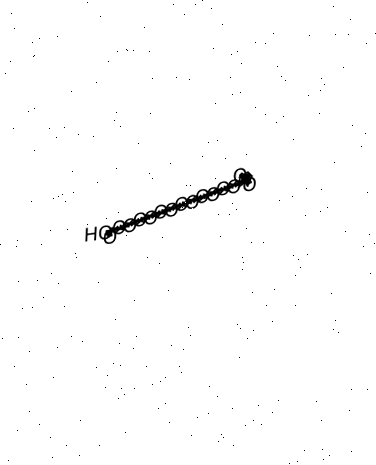 O=C(O)CCOCCOCCOCCOCCOCCOCCOCCOCCOCCOCCOCCOCCN1C(=O)C=CC1=O